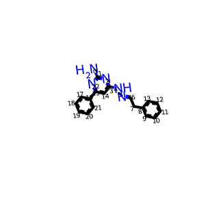 Nc1nc(NN=CCc2ccccc2)cc(-c2ccccc2)n1